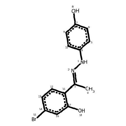 C/C(=N\Nc1ccc(O)cc1)c1ccc(Br)cc1O